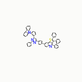 c1ccc(-c2nc(-c3ccc(-c4ccc5nc(-c6ccccc6)c6c(-c7ccccc7)c(-c7ccccc7)sc6c5c4)cc3)cc(-c3cccc(-n4c5ccccc5c5ccccc54)c3)n2)cc1